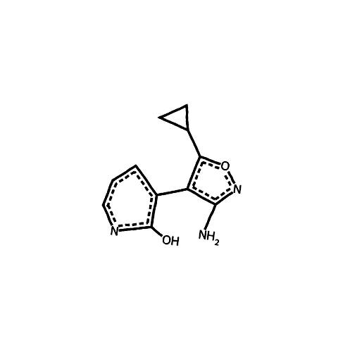 Nc1noc(C2CC2)c1-c1cccnc1O